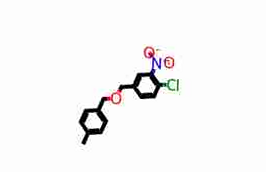 Cc1ccc(COCc2ccc(Cl)c([N+](=O)[O-])c2)cc1